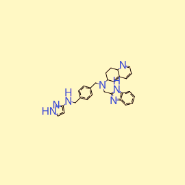 C1=CC2=CC(N(Cc3ccc(CNc4cc[nH]n4)cc3)Cc3nc4ccccc4[nH]3)CCC2N=C1